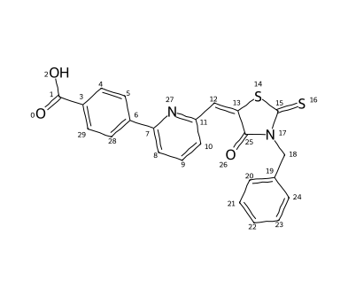 O=C(O)c1ccc(-c2cccc(C=C3SC(=S)N(Cc4ccccc4)C3=O)n2)cc1